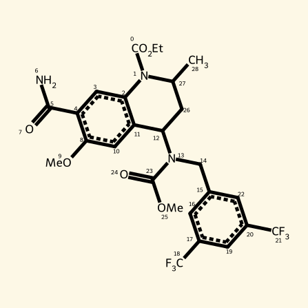 CCOC(=O)N1c2cc(C(N)=O)c(OC)cc2C(N(Cc2cc(C(F)(F)F)cc(C(F)(F)F)c2)C(=O)OC)CC1C